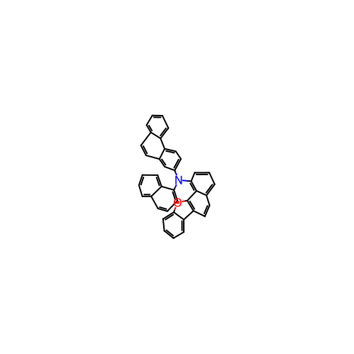 c1ccc2c(N(c3ccc4c(ccc5ccccc54)c3)c3cccc4ccc5c6ccccc6oc5c34)cccc2c1